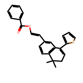 CC1(C)CC=C(c2cccs2)c2cc(/C=C/OC(=O)c3ccccc3)ccc21